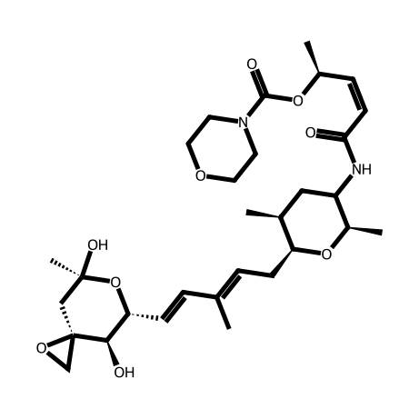 CC(/C=C/[C@H]1O[C@](C)(O)C[C@@]2(CO2)[C@@H]1O)=C\C[C@@H]1O[C@H](C)C(NC(=O)/C=C\[C@H](C)OC(=O)N2CCOCC2)C[C@@H]1C